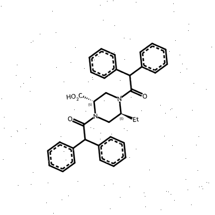 CC[C@H]1CN(C(=O)C(c2ccccc2)c2ccccc2)[C@H](C(=O)O)CN1C(=O)C(c1ccccc1)c1ccccc1